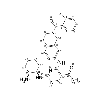 Cc1ccccc1C(=O)N1CCc2ccc(Nc3nc(N[C@@H]4CCCC[C@@H]4N)ncc3C(N)=O)cc2C1